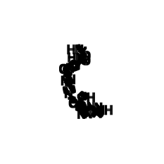 CN[C@@H](C)C(=O)NC(C=O)C1CCN(C(=O)c2cnc(N3CCN(CCOc4cc5ncnc(Nc6n[nH]c(C)c6C)c5cc4SC(C)(C)C)CC3)nc2)CC1